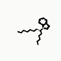 CCCCCCC[C@H](CCCCC)n1ccc2ccccc21